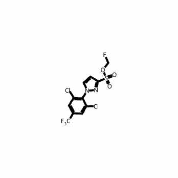 O=S(=O)(OCF)c1ccn(-c2c(Cl)cc(C(F)(F)F)cc2Cl)n1